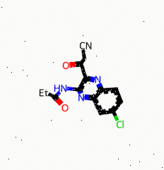 CCC(=O)Nc1nc2cc(Cl)ccc2nc1C(=O)CC#N